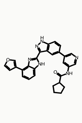 O=C(Nc1cncc(-c2ccc3[nH]nc(-c4nc5c(-c6ccoc6)cccc5[nH]4)c3c2)c1)C1CCCC1